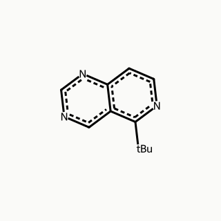 CC(C)(C)c1nccc2ncncc12